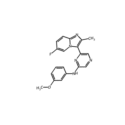 COc1cccc(Nc2cncc(-c3c(C)nc4ccc(F)cn34)n2)c1